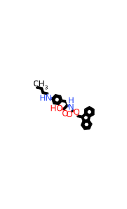 CCCCCNc1ccc(C[C@@H](NC(=O)OCC2c3ccccc3-c3ccccc32)C(=O)O)cc1